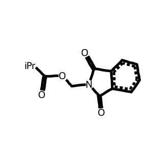 CC(C)C(=O)OCN1C(=O)c2ccccc2C1=O